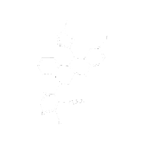 Cc1nnc(-c2c(-c3ccccn3)c([C@H](C)Nc3ncnc(N)c3C#N)nc3ccc(F)cc23)o1